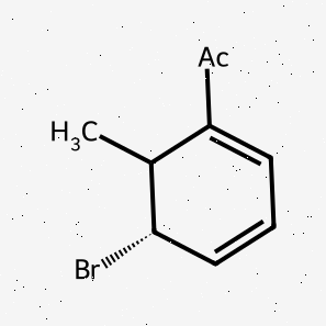 CC(=O)C1=CC=C[C@H](Br)C1C